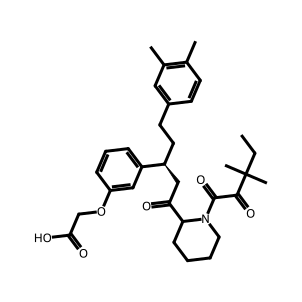 CCC(C)(C)C(=O)C(=O)N1CCCCC1C(=O)C[C@H](CCc1ccc(C)c(C)c1)c1cccc(OCC(=O)O)c1